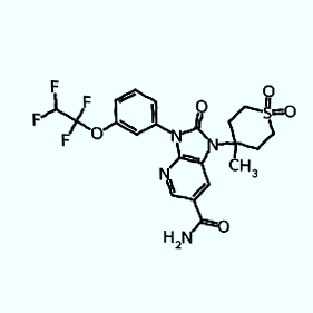 CC1(n2c(=O)n(-c3cccc(OC(F)(F)C(F)F)c3)c3ncc(C(N)=O)cc32)CCS(=O)(=O)CC1